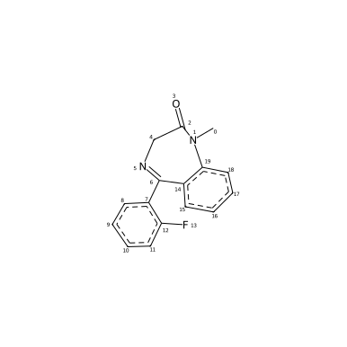 CN1C(=O)CN=C(c2ccccc2F)c2ccccc21